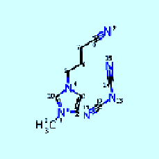 C[n+]1ccn(CCCC#N)c1.N#C[N-]C#N